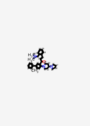 Cc1ccccc1-c1ccc(N2CCC(N3CCCC3)CC2)c(C(=O)C=Cc2ccccc2CN(C)C)c1